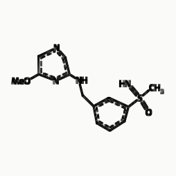 COc1cncc(NCc2cccc(S(C)(=N)=O)c2)n1